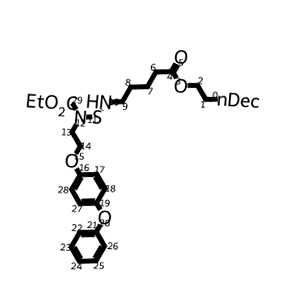 CCCCCCCCCCCCOC(=O)CCCCNSN(CCOc1ccc(Oc2ccccc2)cc1)C(=O)OCC